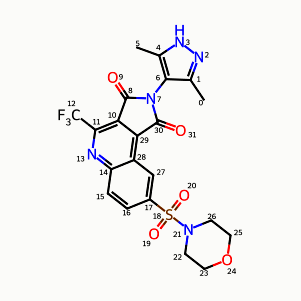 Cc1n[nH]c(C)c1N1C(=O)c2c(C(F)(F)F)nc3ccc(S(=O)(=O)N4CCOCC4)cc3c2C1=O